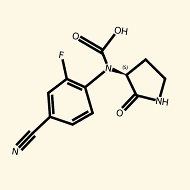 N#Cc1ccc(N(C(=O)O)[C@H]2CCNC2=O)c(F)c1